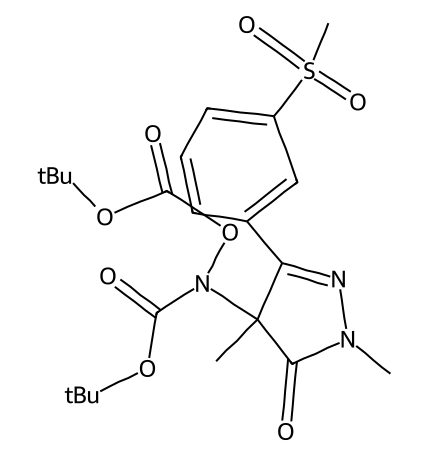 CN1N=C(c2cccc(S(C)(=O)=O)c2)C(C)(N(OC(=O)OC(C)(C)C)C(=O)OC(C)(C)C)C1=O